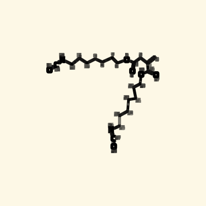 C=C(CC(=O)OCCCCCCCN=C=O)C(=O)OCCCCCCCN=C=O